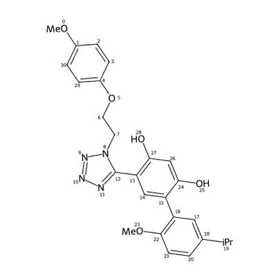 COc1ccc(OCCn2nnnc2-c2cc(-c3cc(C(C)C)ccc3OC)c(O)cc2O)cc1